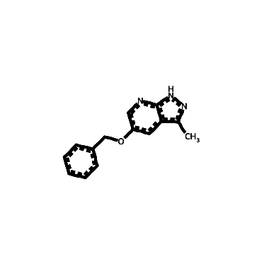 Cc1n[nH]c2ncc(OCc3ccccc3)cc12